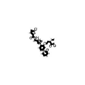 CC[C@@H](CCOc1cc(-n2ccccc2=O)ccc1-n1cc(CNC(=O)c2ccc(Cl)s2)nn1)C(=O)C=O